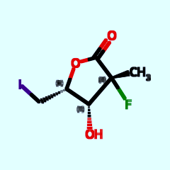 C[C@]1(F)C(=O)O[C@@H](CI)[C@H]1O